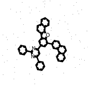 c1ccc(-c2cc(-c3cc(-c4ccc5ccc6ccccc6c5c4)c4oc5c6ccccc6ccc5c4c3)nc(-c3ccccc3)n2)cc1